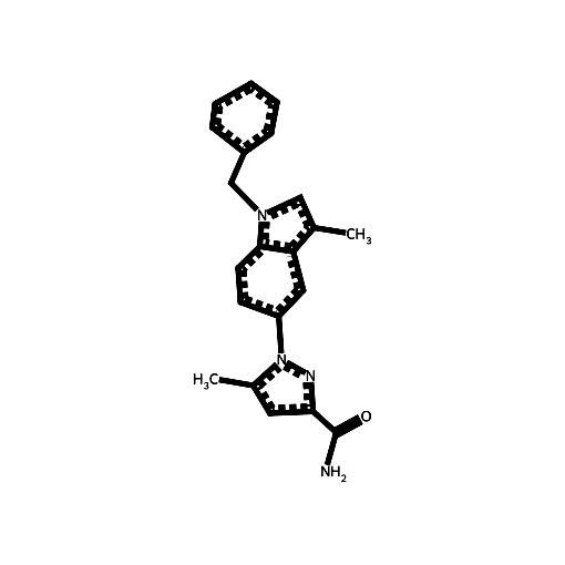 Cc1cn(Cc2ccccc2)c2ccc(-n3nc(C(N)=O)cc3C)cc12